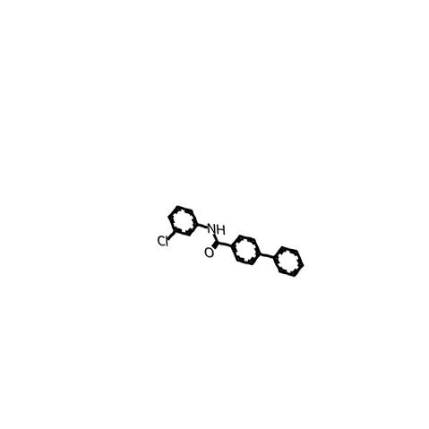 O=C(Nc1cccc(Cl)c1)c1ccc(-c2ccccc2)cc1